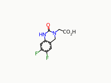 O=C(O)CN1Cc2cc(F)c(F)cc2NC1=O